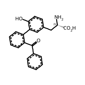 N[C@@H](Cc1ccc(O)c(-c2ccccc2C(=O)c2ccccc2)c1)C(=O)O